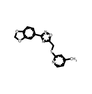 Cc1ccnc(SCc2nc(-c3ccc4c(c3)OCO4)no2)c1